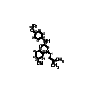 CC(C)=CCN(CC(=O)Nc1ccc(OC(C)C)cc1)c1cccc(C#N)c1